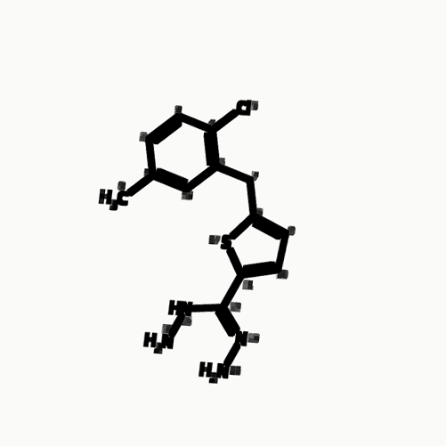 Cc1ccc(Cl)c(Cc2ccc(/C(=N/N)NN)s2)c1